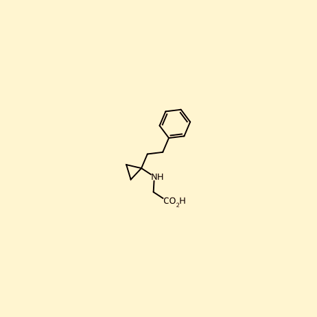 O=C(O)CNC1(CCc2ccccc2)CC1